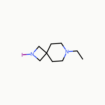 CCN1CCC2(CC1)CN(I)C2